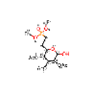 CC(=O)O[C@H]1[C@H](OC(C)=O)[C@@H](CCP(=O)(OC(C)C)OC(C)C)OC(O)[C@H]1OC(C)=O